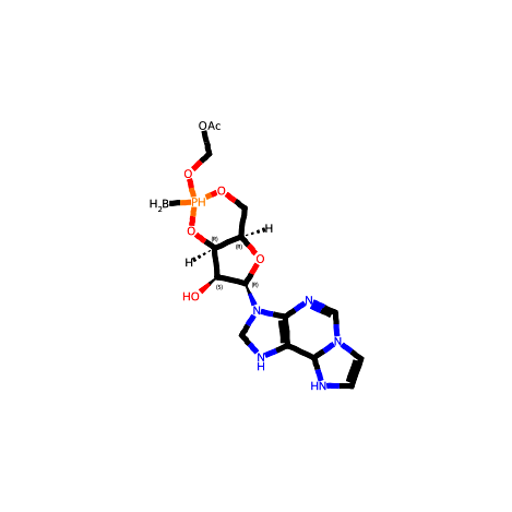 B[PH]1(OCOC(C)=O)OC[C@H]2O[C@@H](N3CNC4=C3N=CN3C=CNC43)[C@@H](O)[C@H]2O1